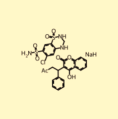 CC(=O)CC(c1ccccc1)c1c(O)c2ccccc2oc1=O.NS(=O)(=O)c1cc2c(cc1Cl)NCNS2(=O)=O.[NaH]